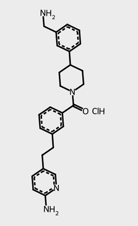 Cl.NCc1cccc(C2CCN(C(=O)c3cccc(CCc4ccc(N)nc4)c3)CC2)c1